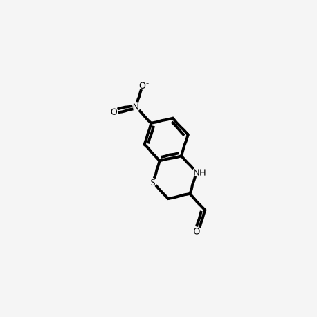 O=CC1CSc2cc([N+](=O)[O-])ccc2N1